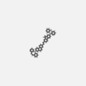 CC1(C)c2cc(/C=C/c3ccc4c(ccc5cc(N6c7ccccc7CCc7ccccc76)ccc54)c3)ccc2-c2ccc(N3c4ccccc4Sc4ccccc43)cc21